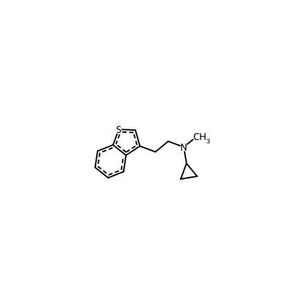 CN(CCc1csc2ccccc12)C1CC1